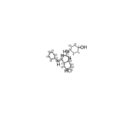 Cl.O[C@H]1CC[C@H](Nc2nc(Nc3ccccc3)c3ccccc3n2)CC1